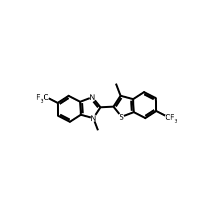 Cc1c(-c2nc3cc(C(F)(F)F)ccc3n2C)sc2cc(C(F)(F)F)ccc12